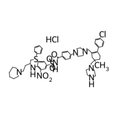 CC1(CN2CCNCC2)CCC(c2ccc(Cl)cc2)=C(CN2CCN(c3ccc(C(=O)NS(=O)(=O)c4ccc(NC(CCN5CCCCCC5)CSc5ccccc5)c([N+](=O)[O-])c4)cc3)CC2)C1.Cl